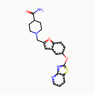 NC(=O)C1CCN(Cc2cc3cc(Oc4nc5ncccc5s4)ccc3o2)CC1